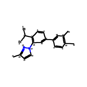 CCC(CC)c1ccc(-c2ccc(C)c(C)c2)cc1-n1ccc(C)n1